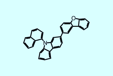 c1ccc2c(-n3c4ccccc4c4ccc(-c5ccc6oc7ccccc7c6c5)cc43)cccc2c1